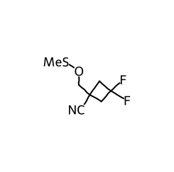 CSOCC1(C#N)CC(F)(F)C1